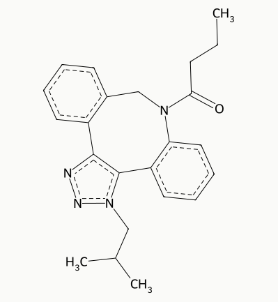 CCCC(=O)N1Cc2ccccc2-c2nnn(CC(C)C)c2-c2ccccc21